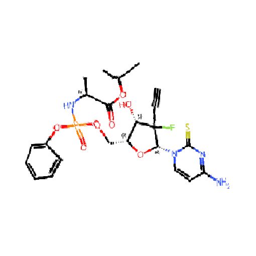 C#CC1(F)[C@@H](O)[C@@H](COP(=O)(N[C@@H](C)C(=O)OC(C)C)Oc2ccccc2)O[C@H]1n1ccc(N)nc1=S